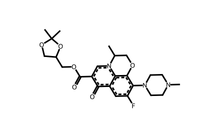 CC1COc2c(N3CCN(C)CC3)c(F)cc3c(=O)c(C(=O)OCC4COC(C)(C)O4)cn1c23